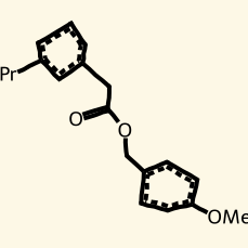 COc1ccc(COC(=O)Cc2cccc(C(C)C)c2)cc1